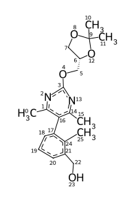 Cc1nc(OC[C@@H]2COC(C)(C)O2)nc(C)c1-c1cccc(CO)c1C